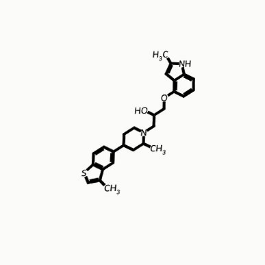 Cc1cc2c(OCC(O)CN3CCC(c4ccc5scc(C)c5c4)CC3C)cccc2[nH]1